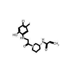 C=CC(=O)N[C@@H]1CCCN(C(=O)CNc2cc(I)c(Cl)cc2O)C1